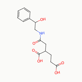 O=C(O)CCC(CC(=O)NCC(O)c1ccccc1)C(=O)O